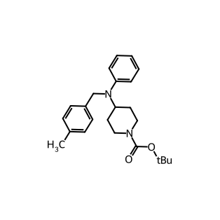 Cc1ccc(CN(c2ccccc2)C2CCN(C(=O)OC(C)(C)C)CC2)cc1